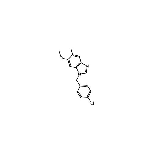 COc1cc2c(cc1C)ncn2Cc1ccc(Cl)cc1